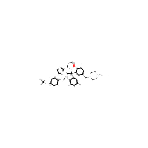 COc1ccc(CN2CCN(C)CC2)cc1C1(N2CCC[C@H]2c2ncco2)C(=O)N(S(=O)(=O)c2ccc(OC(F)(F)F)cc2)c2ccc(Cl)cc21